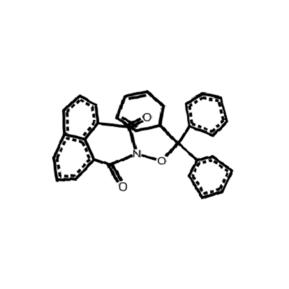 O=C1c2cccc3cccc(c23)C(=O)N1OC(c1ccccc1)(c1ccccc1)C1C=CC=CC1